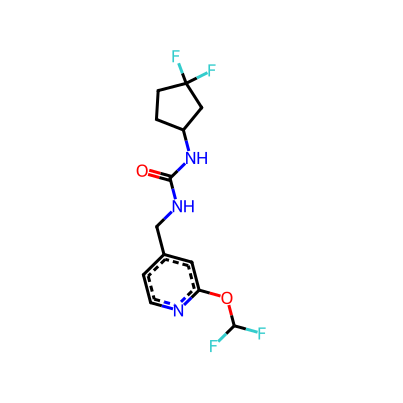 O=C(NCc1ccnc(OC(F)F)c1)NC1CCC(F)(F)C1